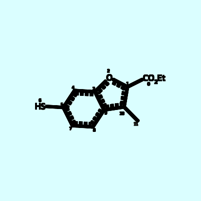 CCOC(=O)c1oc2cc(S)ccc2c1C